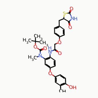 Cc1cc(Oc2ccc(NC(=O)COc3ccc(CC4SC(=O)NC4=O)cc3)c(N(C)C(=O)OC(C)(C)C)c2)ccc1O